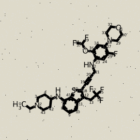 CCN1CCC(Nc2cccc3c(CC(F)(F)F)c(C#CCNc4cc(F)c(N5CCOCC5)cc4OC(F)F)sc23)CC1